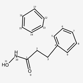 O=C(CCc1ccccc1)NO.c1ccccc1